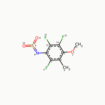 COc1c(C)c(F)c(N=S(=O)=O)c(F)c1F